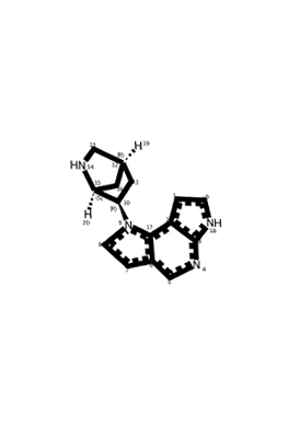 c1cc2c(ncc3ccn([C@@H]4C[C@@H]5CN[C@H]4C5)c32)[nH]1